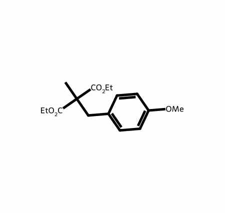 CCOC(=O)C(C)(Cc1ccc(OC)cc1)C(=O)OCC